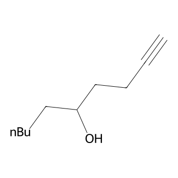 C#CCCC(O)CCCCC